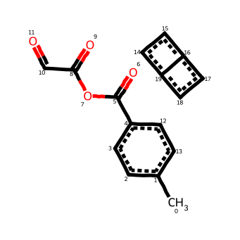 Cc1ccc(C(=O)OC(=O)C=O)cc1.c1cc2ccc1-2